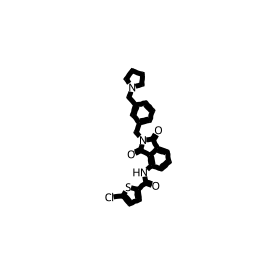 O=C(Nc1cccc2c1C(=O)N(Cc1cccc(CN3CCCC3)c1)C2=O)c1ccc(Cl)s1